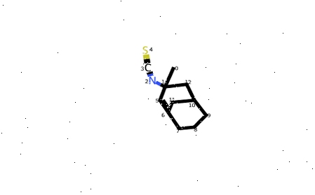 CC1(N=C=S)C=C2CCCC(C2)C1